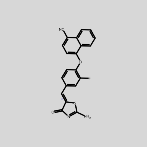 N#Cc1ccc(Oc2ccc(/C=C3\SC(N)=NC3=O)cc2F)c2ccccc12